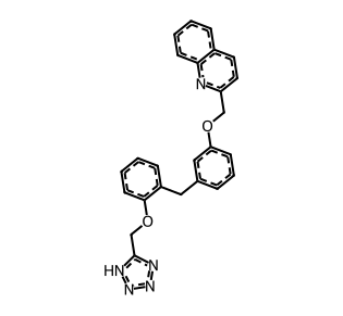 c1cc(Cc2ccccc2OCc2nnn[nH]2)cc(OCc2ccc3ccccc3n2)c1